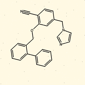 N#Cc1ccc(Cn2ccnc2)cc1OCc1ccccc1-c1ccccc1